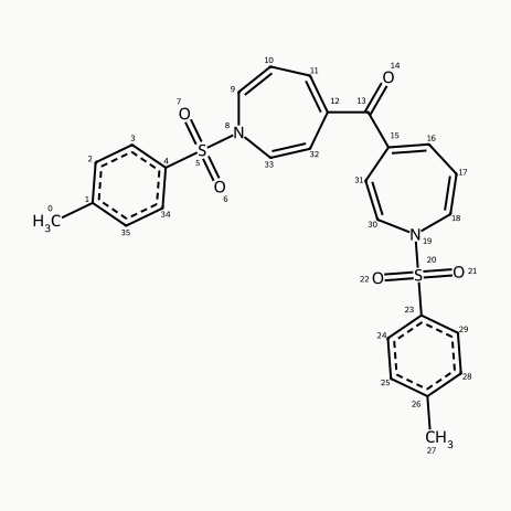 Cc1ccc(S(=O)(=O)N2C=CC=C(C(=O)C3=CC=CN(S(=O)(=O)c4ccc(C)cc4)C=C3)C=C2)cc1